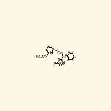 O=C(O)Nc1cccc(CON=C(c2ccccc2)c2noc(=O)[nH]2)n1